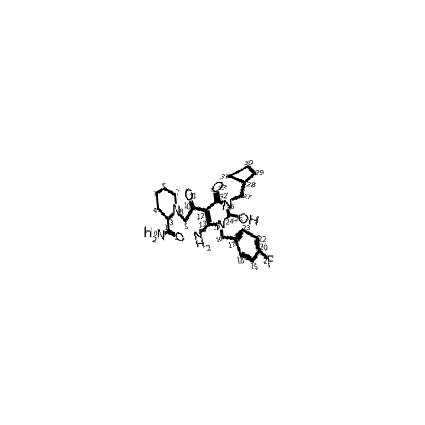 NC(=O)C1CCCCN1CC(=O)C1=C(N)N(Cc2ccc(F)cc2)C(O)N(CC2CCC2)C1=O